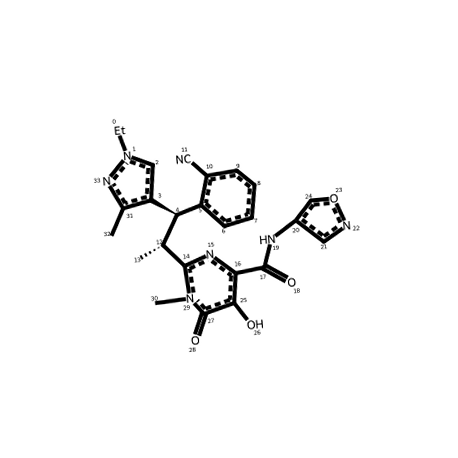 CCn1cc([C@@H](c2ccccc2C#N)[C@@H](C)c2nc(C(=O)Nc3cnoc3)c(O)c(=O)n2C)c(C)n1